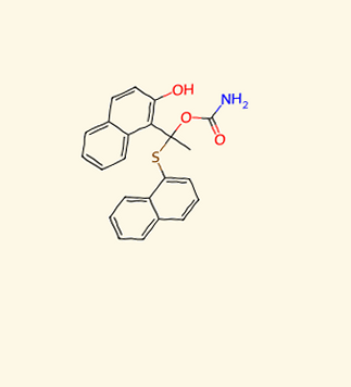 CC(OC(N)=O)(Sc1cccc2ccccc12)c1c(O)ccc2ccccc12